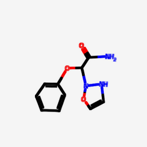 NC(=O)C(Oc1ccccc1)N1NC=CO1